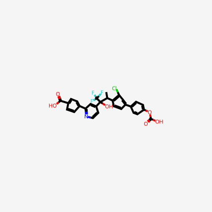 CC(c1ccc(-c2ccc(OC(=O)O)cc2)cc1Cl)C(O)(c1ccnc(-c2ccc(C(=O)O)cc2)c1)C(F)(F)F